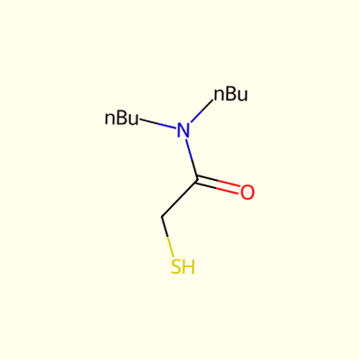 CCCCN(CCCC)C(=O)CS